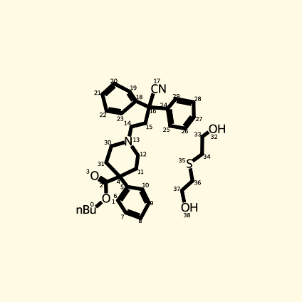 CCCCOC(=O)C1(c2ccccc2)CCN(CCC(C#N)(c2ccccc2)c2ccccc2)CC1.OCCSCCO